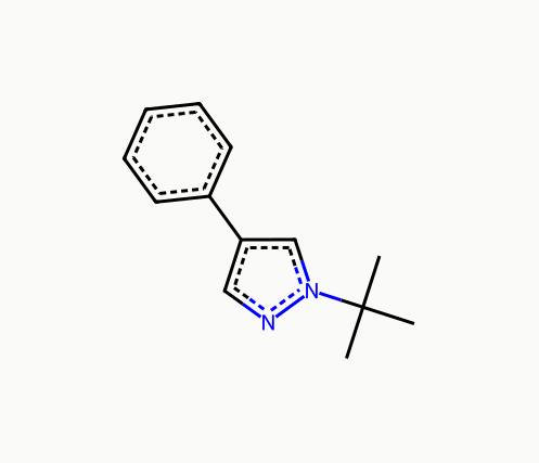 CC(C)(C)n1cc(-c2ccccc2)cn1